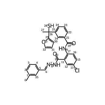 Cc1cccc(/C=N/NC(=O)c2cc(Cl)ccc2NC(=O)c2cccc(C(C)(S)c3ccco3)c2)c1